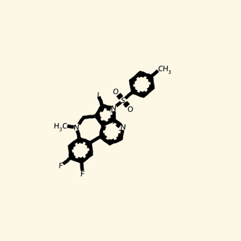 Cc1ccc(S(=O)(=O)n2c(I)c3c4c(ccnc42)-c2cc(F)c(F)cc2N(C)C3)cc1